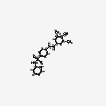 Cc1cc(NNc2ccc(S(=O)(=O)Nc3ccccn3)cc2)cc(C)c1O